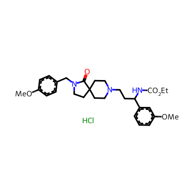 CCOC(=O)NC(CCN1CCC2(CC1)CCN(Cc1ccc(OC)cc1)C2=O)c1cccc(OC)c1.Cl